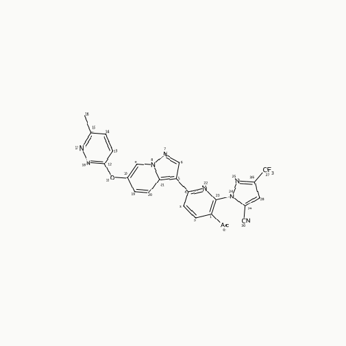 CC(=O)c1ccc(-c2cnn3cc(Oc4ccc(C)nn4)ccc23)nc1-n1nc(C(F)(F)F)cc1C#N